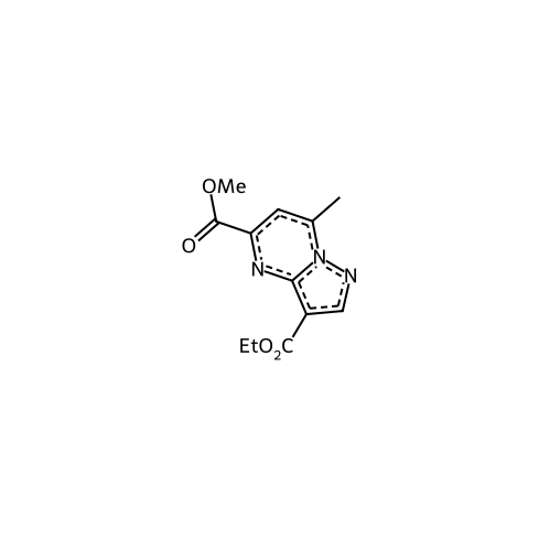 CCOC(=O)c1cnn2c(C)cc(C(=O)OC)nc12